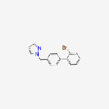 Brc1ccccc1-c1ccc(Cn2cccn2)cc1